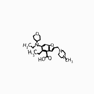 CCc1c(N(CC)C2CCOCC2)cc2oc(CN3CCN(C)CC3)cc2c1C(=O)O